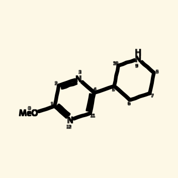 COc1cnc(C2CCCNC2)cn1